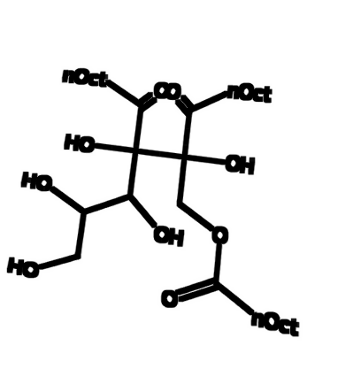 CCCCCCCCC(=O)OCC(O)(C(=O)CCCCCCCC)C(O)(C(=O)CCCCCCCC)C(O)C(O)CO